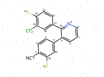 N#Cc1ccc(-c2cccnc2-c2ccc(F)c(Cl)c2)cc1F